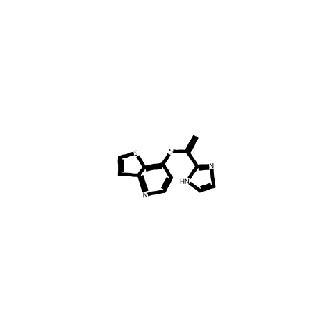 C=C(Sc1ccnc2ccsc12)c1ncc[nH]1